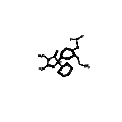 CCCc1cc([C@@]2(c3ccccc3)N=C(N)N(C)C2=O)ccc1OC(F)F